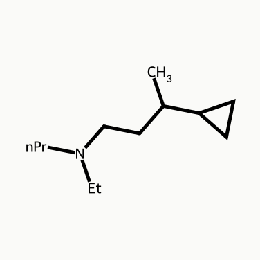 CCCN(CC)CCC(C)C1CC1